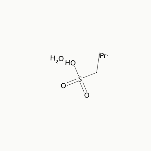 C[C](C)CS(=O)(=O)O.O